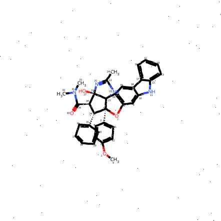 COc1ccc([C@@]23Oc4cc5[nH]c6ccccc6c5cc4[C@@]24NC(C)=N[C@@]4(O)[C@H](C(=O)N(C)C)[C@H]3c2ccccc2)cc1